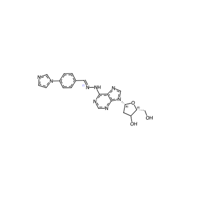 OC[C@H]1O[C@@H](n2cnc3c(N/N=C/c4ccc(-n5ccnc5)cc4)ncnc32)CC1O